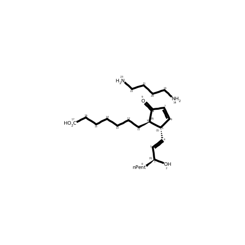 CCCCC[C@H](O)C=C[C@H]1C=CC(=O)[C@@H]1CCCCCCC(=O)O.NCCCCN